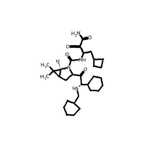 CC1(C)C2CC(C(=O)[C@@H](NCC3CCCCC3)C3CCCCC3)N(C(=O)NC(CC3CCC3)C(=O)C(N)=O)[C@@H]21